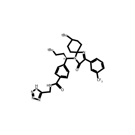 CC(C)(C)CC[C@H](c1ccc(C(=O)NCc2nnn[nH]2)cc1)N1C(=O)C(c2cccc(C(F)(F)F)c2)=NC12CCC(C(C)(C)C)CC2